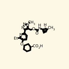 CCc1nc(-c2nnn(C)c2COC(=O)NC23CC(C2)[C@@H]3C)ccc1O[C@H]1CCC[C@H](C(=O)O)C1